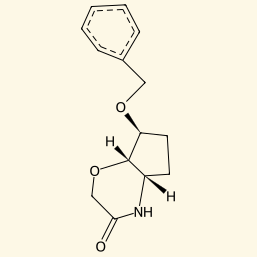 O=C1CO[C@H]2[C@H](CC[C@@H]2OCc2ccccc2)N1